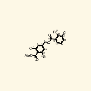 COC(=O)c1c(Cl)cc(COC(=O)c2cccc(Cl)c2Br)cc1Br